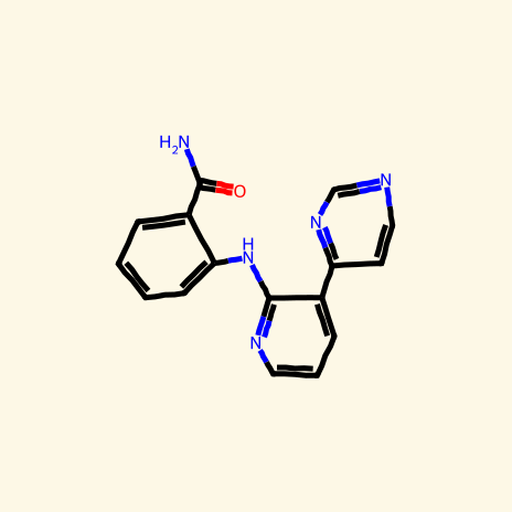 NC(=O)c1ccccc1Nc1ncccc1-c1ccncn1